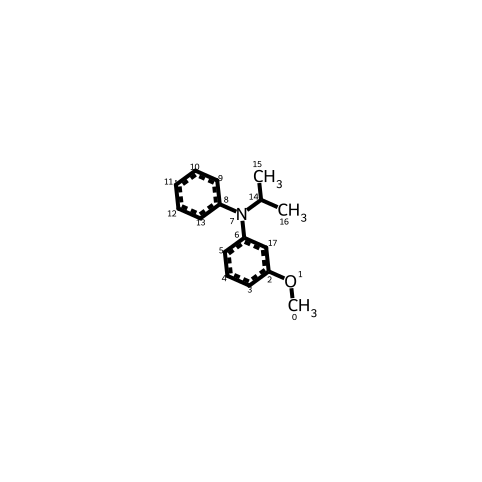 COc1cccc(N(c2cc[c]cc2)C(C)C)c1